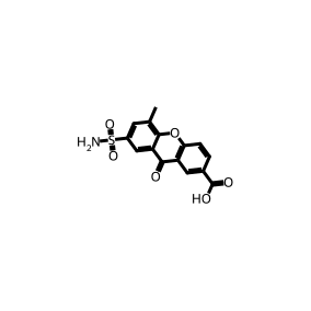 Cc1cc(S(N)(=O)=O)cc2c(=O)c3cc(C(=O)O)ccc3oc12